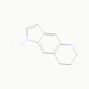 Cn1ccc2cc3c(cc21)CCCN3